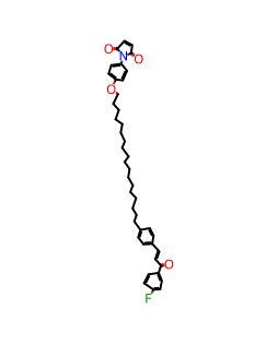 O=C(/C=C/c1ccc(CCCCCCCCCCCCCCCCCCOc2ccc(N3C(=O)C=CC3=O)cc2)cc1)c1ccc(F)cc1